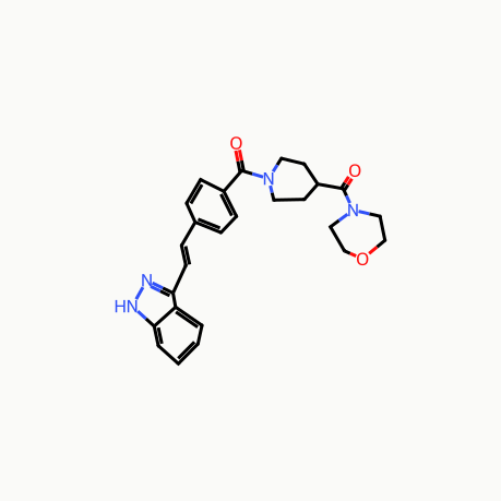 O=C(c1ccc(C=Cc2n[nH]c3ccccc23)cc1)N1CCC(C(=O)N2CCOCC2)CC1